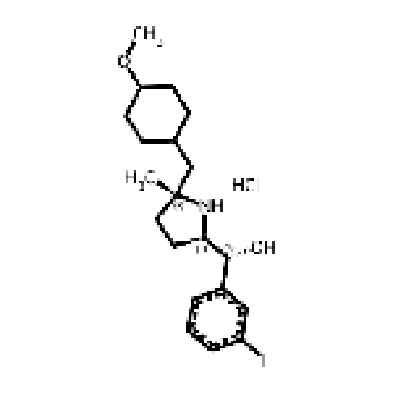 COC1CCC(C[C@@]2(C)CC[C@H]([C@H](O)c3cccc(F)c3)N2)CC1.Cl